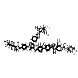 Cc1cc(C(=O)NC2CCN(C(=O)OC(C)(C)C)CC2(C)C)ccc1-c1ccc(C[C@H](NC(=O)[C@H]2CC[C@H](CNC(=O)OC(C)(C)C)CC2)C(=O)Nc2ccc(-c3nnc(C(F)(F)C(F)(F)C(=O)O)[nH]3)cc2)cc1